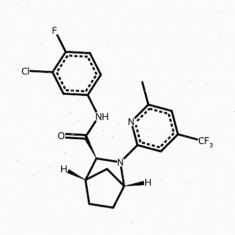 Cc1cc(C(F)(F)F)cc(N2[C@@H]3CC[C@@H](C3)[C@H]2C(=O)Nc2ccc(F)c(Cl)c2)n1